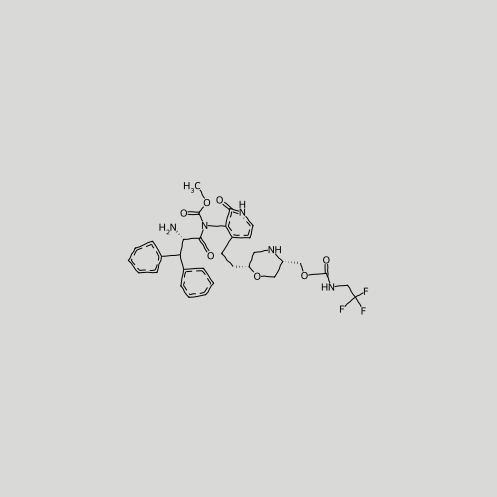 COC(=O)N(C(=O)[C@@H](N)C(c1ccccc1)c1ccccc1)c1c(CC[C@@H]2CN[C@H](COC(=O)NCC(F)(F)F)CO2)cc[nH]c1=O